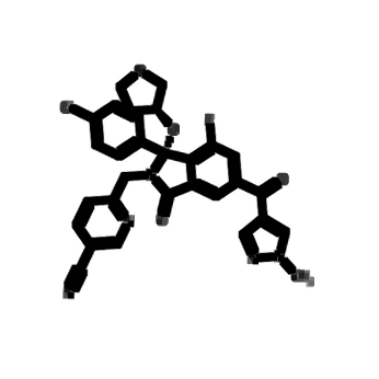 Cn1cc(C(=O)c2cc(F)c3c(c2)C(=O)N(Cc2ccc(C#N)cn2)[C@@]3(O[C@H]2CCOC2)c2ccc(Cl)cc2)cn1